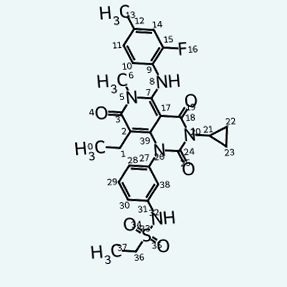 CCc1c(=O)n(C)c(Nc2ccc(C)cc2F)c2c(=O)n(C3CC3)c(=O)n(-c3cccc(NS(=O)(=O)CC)c3)c12